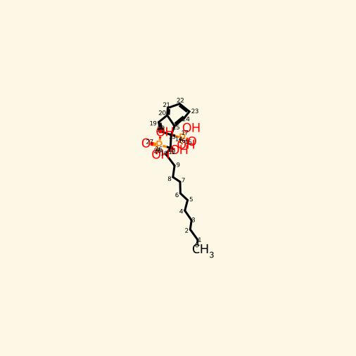 CCCCCCCCCCCC(O)(C1(P(=O)(O)O)C=Cc2ccccc21)P(=O)(O)O